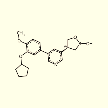 COc1ccc(-c2cncc([C@H]3COB(O)C3)c2)cc1OC1CCCC1